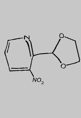 O=[N+]([O-])c1cccnc1C1OCCO1